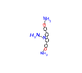 NCCCOc1ccc(-c2ccc3c4ccc(-c5ccc(OCCCN)cc5)cc4n(CCCN)c3c2)cc1